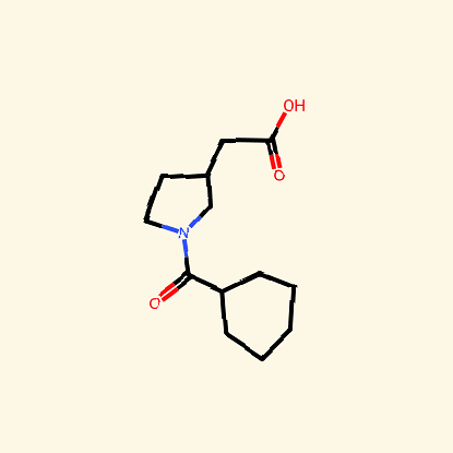 O=C(O)CC1CCN(C(=O)C2CCCCC2)C1